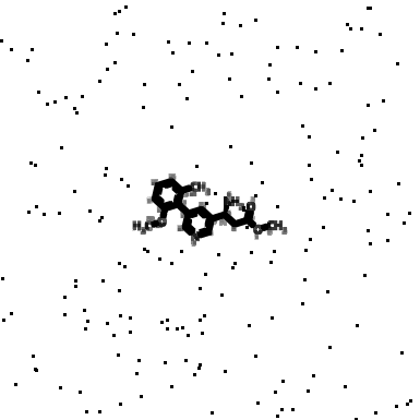 COC(=O)C[C@H](N)c1cncc(-c2c(C)cccc2OC)c1